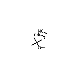 CC#N.CCCCCl.COC(C)(C)C